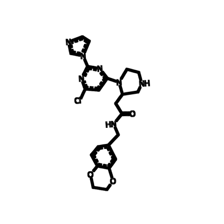 O=C(CC1CNCCN1c1cc(Cl)nc(-n2ccnc2)n1)NCc1ccc2c(c1)OCCO2